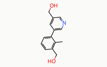 Cc1c(CO)cccc1-c1cncc(CO)c1